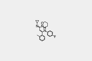 Cc1ccccc1C(=CC(=NC1CC1)N1CCCCO1)Nc1ccc(F)cc1